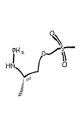 C[C@@H](COS(C)(=O)=O)NP